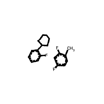 Cc1ccc(F)cc1F.Fc1ccccc1C1CCCCC1